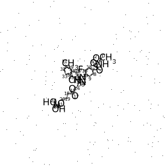 CC(=O)NS(=O)(=O)c1ccc(-n2nc(COC(=O)CCCON(O)O)nc2Cc2cc(C)ccc2C)c(F)c1